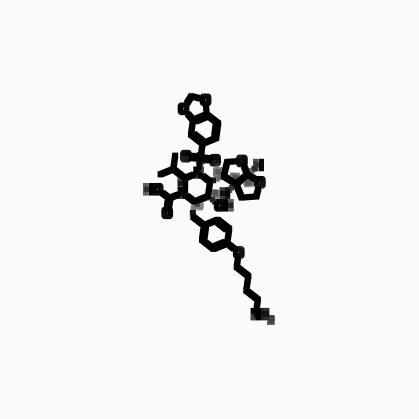 CC(C)CN(C([C@H](O)[C@H](Cc1ccc(OCCCCN)cc1)NC(=O)O)[C@@H]1CO[C@H]2OCC[C@H]21)S(=O)(=O)c1ccc2c(c1)OCO2